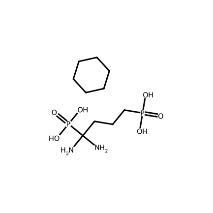 C1CCCCC1.NC(N)(CCCP(=O)(O)O)P(=O)(O)O